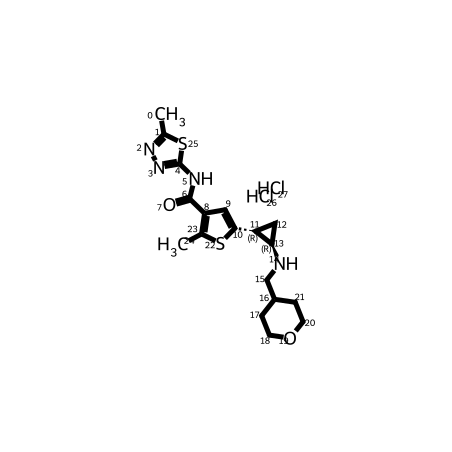 Cc1nnc(NC(=O)c2cc([C@@H]3C[C@H]3NCC3CCOCC3)sc2C)s1.Cl.Cl